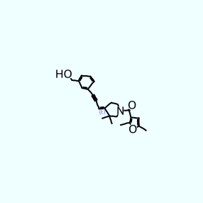 Cc1cc(C(=O)N2CC/C(=C\C#Cc3cccc(CO)c3)C(C)(C)C2)c(C)o1